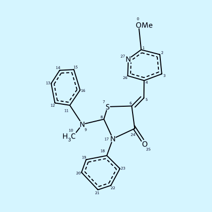 COc1ccc(/C=C2\SC(N(C)c3ccccc3)N(c3ccccc3)C2=O)cn1